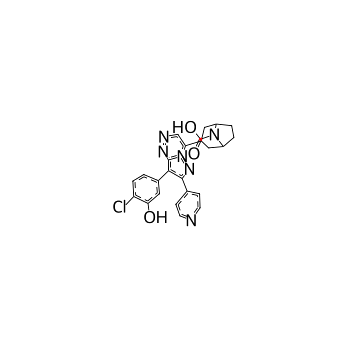 O=C(O)N1C2CCC1CC(c1cnnc3c(-c4ccc(Cl)c(O)c4)c(-c4ccncc4)nn13)C2